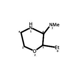 CCC1OCCNC1NC